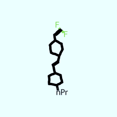 CCCC1CCC(C=CC2CCC(C=C(F)F)CC2)CC1